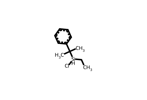 CC[SiH](Cl)C(C)(C)c1ccccc1